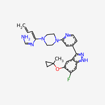 C=C/C=C(\N=C/N)N1CCN(c2cc(-c3n[nH]c4cc(F)c(OC5(C)CC5)cc34)ccn2)CC1